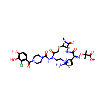 CN1C(=O)[C@@H](NC(=O)/C(=N\OC(C)(C)C(=O)O)c2csc(N)n2)C1SCC(=O)N(CCN)NC(=O)N1CCN(C(=O)c2ccc(O)c(O)c2Cl)CC1